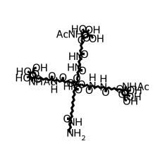 CC(=O)NC1C(OCCCCC(=O)NCCCNC(=O)CCOCC(COCCC(=O)CCNC(=O)CCCCOC2OC(CO)C(O)C(O)C2NC(C)=O)(COCCC(=O)NCCCNC(=O)CCCCOC2OC(CO)C(O)C(O)C2NC(C)=O)NC(=O)CCCCCCCCCCC(=O)NCCCN)OC(CO)C(O)C1O